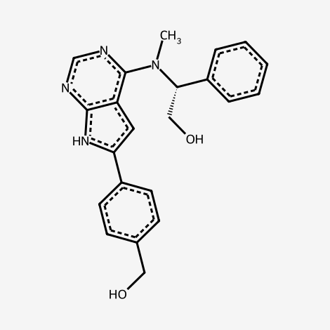 CN(c1ncnc2[nH]c(-c3ccc(CO)cc3)cc12)[C@@H](CO)c1ccccc1